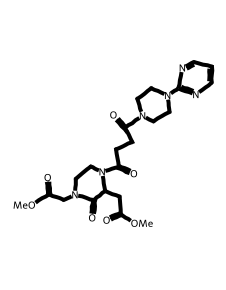 COC(=O)CC1C(=O)N(CC(=O)OC)CCN1C(=O)CCC(=O)N1CCN(c2ncccn2)CC1